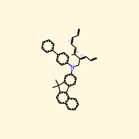 C=C\C=C/C=C(C)/C(=C/C=C)CN(c1ccc(-c2ccccc2)cc1)c1ccc2c(c1)C(C)(C)c1ccc3ccccc3c1-2